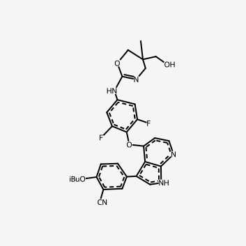 CC(C)COc1ccc(-c2c[nH]c3nccc(Oc4c(F)cc(NC5=NCC(C)(CO)CO5)cc4F)c23)cc1C#N